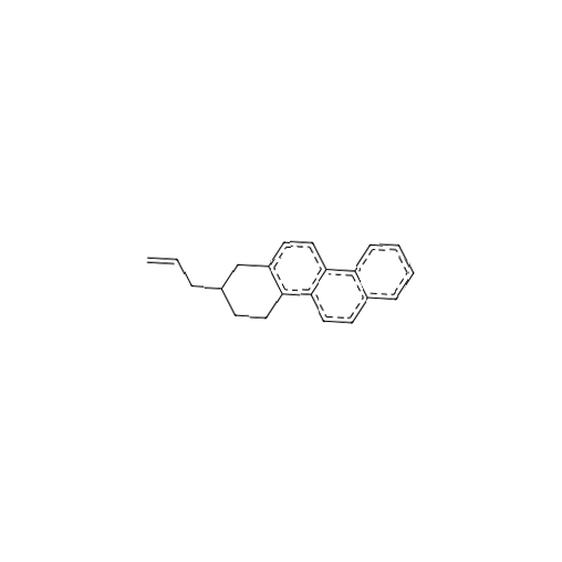 C=CCC1CCc2c(ccc3c2ccc2ccccc23)C1